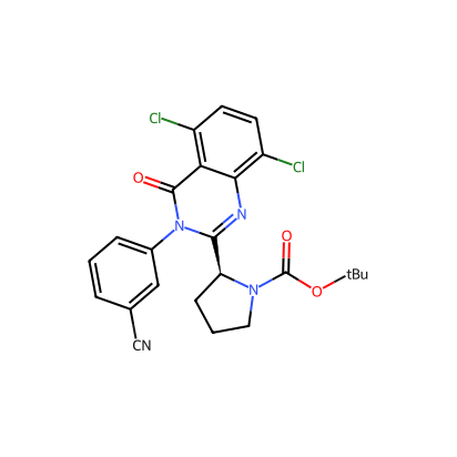 CC(C)(C)OC(=O)N1CCC[C@H]1c1nc2c(Cl)ccc(Cl)c2c(=O)n1-c1cccc(C#N)c1